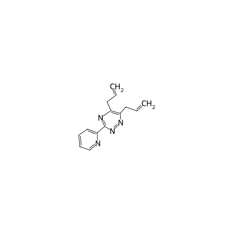 C=CCc1nnc(-c2ccccn2)nc1CC=C